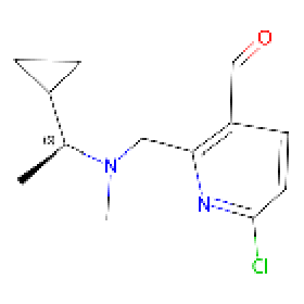 C[C@@H](C1CC1)N(C)Cc1nc(Cl)ccc1C=O